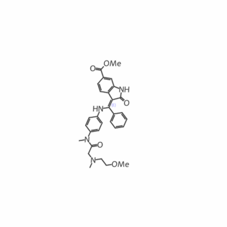 COCCN(C)CC(=O)N(C)c1ccc(N/C(=C2/C(=O)Nc3cc(C(=O)OC)ccc32)c2ccccc2)cc1